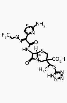 CC(Sc1nnn[nH]1)C1(C(=O)O)CS[C@@H]2C(NC(=O)C(=NOCC(F)(F)F)c3csc(N)n3)C(=O)N2C1